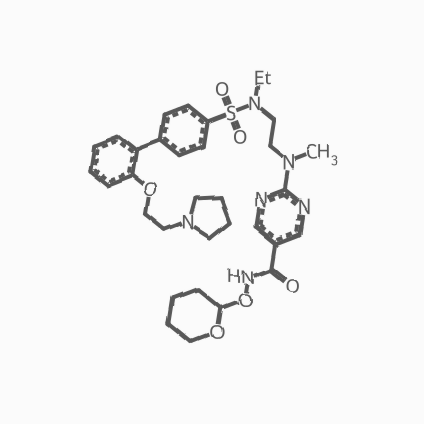 CCN(CCN(C)c1ncc(C(=O)NOC2CCCCO2)cn1)S(=O)(=O)c1ccc(-c2ccccc2OCCN2CCCC2)cc1